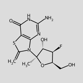 C=C1Sc2c(nc(N)[nH]c2=O)N1[C@]1(C)O[C@H](CO)[C@H](F)[C@H]1O